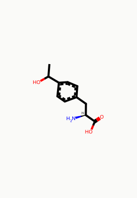 CC(O)c1ccc(C[C@H](N)C(=O)O)cc1